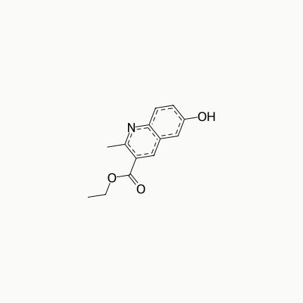 CCOC(=O)c1cc2cc(O)ccc2nc1C